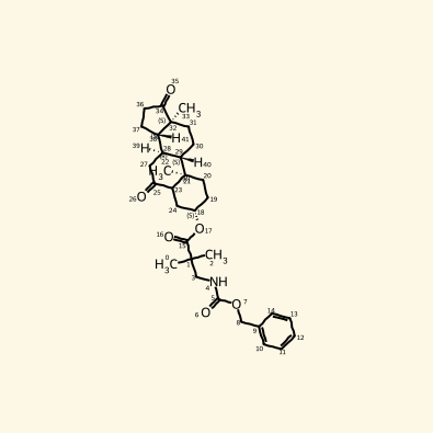 CC(C)(CNC(=O)OCc1ccccc1)C(=O)O[C@H]1CC[C@@]2(C)C(C1)C(=O)C[C@@H]1[C@@H]2CC[C@]2(C)C(=O)CC[C@@H]12